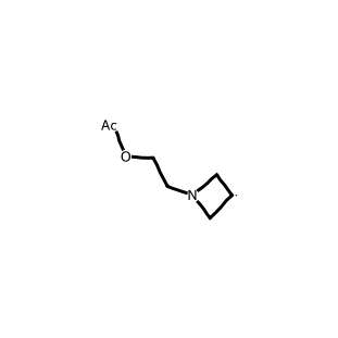 CC(=O)OCCN1C[CH]C1